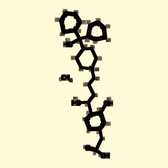 C.O=C(O)Cc1ccc(C(O)CCCN2CCC(C(O)(c3ccccc3)c3ccccc3)CC2)c(O)c1